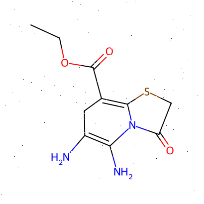 CCOC(=O)C1=C2SCC(=O)N2C(N)=C(N)C1